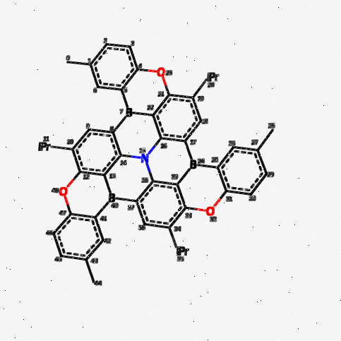 Cc1ccc2c(c1)B1c3cc(C(C)C)c4c5c3N3c6c(cc(C(C)C)c(c61)O2)B1c2cc(C)ccc2Oc2c(C(C)C)cc(c3c21)B5c1cc(C)ccc1O4